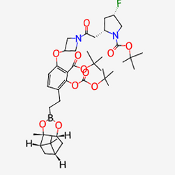 CC(C)(C)OC(=O)Oc1c(CCB2O[C@@H]3C[C@@H]4C[C@@H](C4(C)C)[C@]3(C)O2)ccc(OC2CN(C(=O)C[C@@H]3C[C@H](F)CN3C(=O)OC(C)(C)C)C2)c1C(=O)OC(C)(C)C